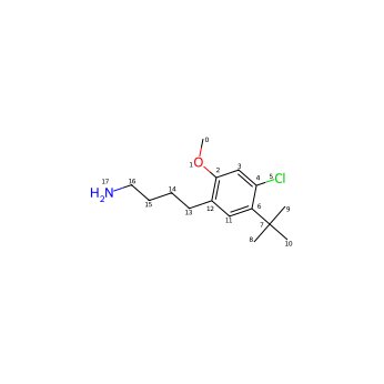 COc1cc(Cl)c(C(C)(C)C)cc1CCCCN